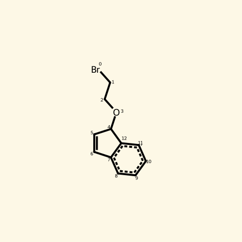 BrCCOC1C=Cc2ccc[c]c21